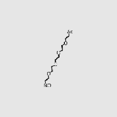 CC(=O)CCOCCOCCOCCOCCN=O